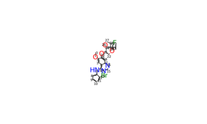 COc1cc2c(Nc3ccccc3Br)ncnc2cc1O[C@@H]1CO[C@@H]2C1OC[C@H]2F